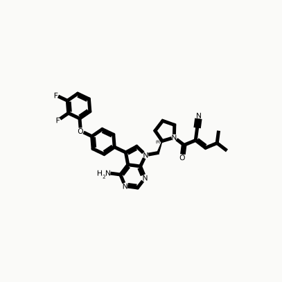 CC(C)C=C(C#N)C(=O)N1CCC[C@@H]1Cn1cc(-c2ccc(Oc3cccc(F)c3F)cc2)c2c(N)ncnc21